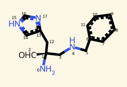 N[C@@](C=O)(CNCc1ccccc1)Cc1c[nH]cn1